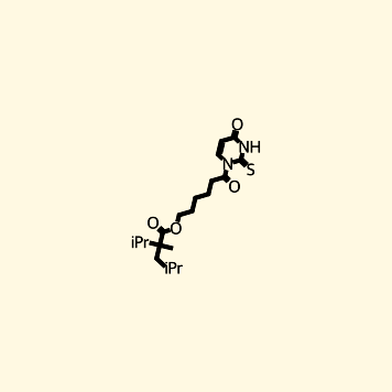 CC(C)CC(C)(C(=O)OCCCCCC(=O)n1ccc(=O)[nH]c1=S)C(C)C